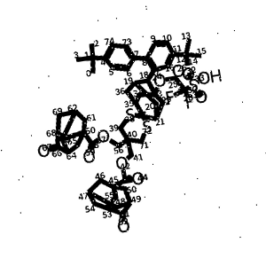 CC(C)(C)c1ccc(-c2ccc(C(C)(C)C)cc2C2C3CC4CC2(OC(=O)C(F)(F)S(=O)(=O)O)CC(C3)C42SCC(COC(=O)C34CC5CC(C3)C(=O)C(C5)C4)(COC(=O)C34CC5CC(C3)C(=O)C(C5)C4)CS2)cc1